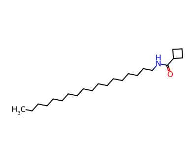 CCCCCCCCCCCCCCCCCCNC(=O)C1CCC1